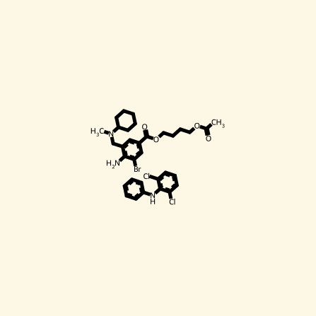 CC(=O)OCCCCOC(=O)c1cc(Br)c(N)c(CN(C)C2CCCCC2)c1.Clc1cccc(Cl)c1Nc1ccccc1